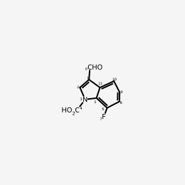 O=Cc1cn(C(=O)O)c2c(F)cccc12